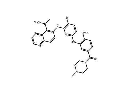 COc1ccc(C(=O)N2CCN(C)CC2)cc1Nc1ncc(Br)c(Nc2ccc3nccnc3c2N(C)SC)n1